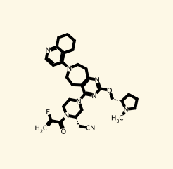 C=C(F)C(=O)N1CCN(c2nc(OC[C@@H]3CCCN3C)nc3c2CCN(c2ccnc4c2CCCC4)CC3)C[C@@H]1CC#N